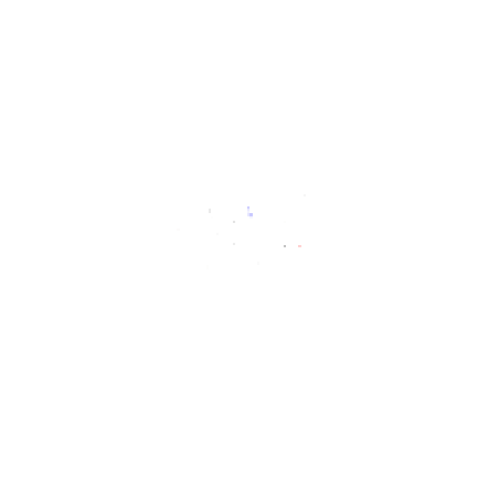 CCCC(N[S+]([O-])C(C)(C)C)C1(C(=O)O)SCCS1